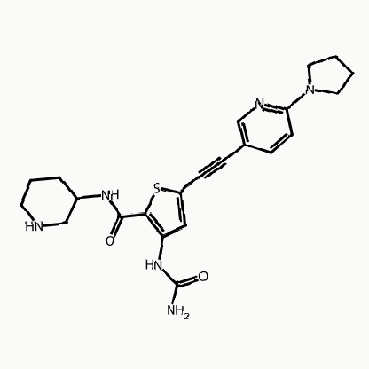 NC(=O)Nc1cc(C#Cc2ccc(N3CCCC3)nc2)sc1C(=O)NC1CCCNC1